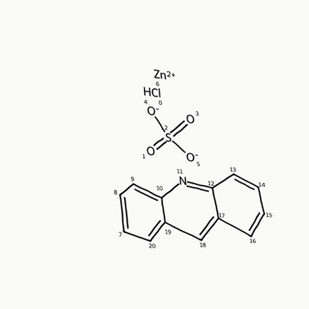 Cl.O=S(=O)([O-])[O-].[Zn+2].c1ccc2nc3ccccc3cc2c1